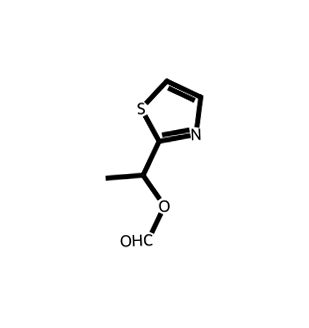 CC(OC=O)c1nccs1